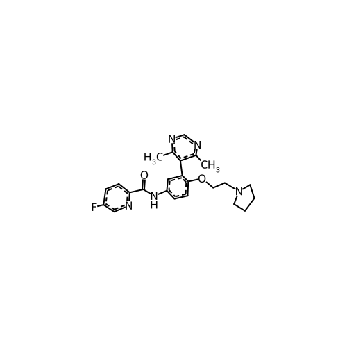 Cc1ncnc(C)c1-c1cc(NC(=O)c2ccc(F)cn2)ccc1OCCN1CCCC1